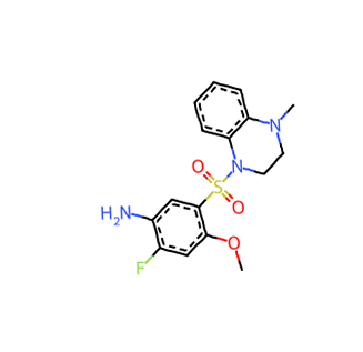 COc1cc(F)c(N)cc1S(=O)(=O)N1CCN(C)c2ccccc21